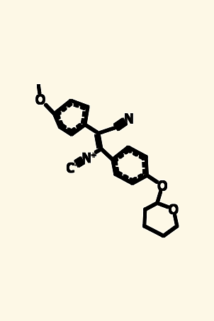 [C-]#[N+]C(=C(C#N)c1ccc(OC)cc1)c1ccc(OC2CCCCO2)cc1